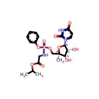 CC(C)OC(=O)CNP(=O)(OC[C@@]1(C)O[C@@H](n2ccc(=O)[nH]c2=O)[C@H](O)[C@@H]1O)Oc1ccccc1